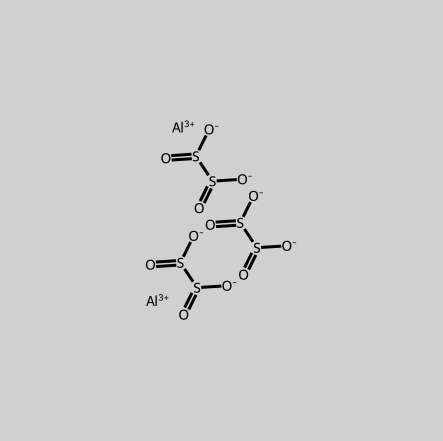 O=S([O-])S(=O)[O-].O=S([O-])S(=O)[O-].O=S([O-])S(=O)[O-].[Al+3].[Al+3]